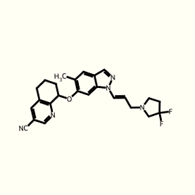 Cc1cc2cnn(C=CCN3CCC(F)(F)C3)c2cc1OC1CCCc2cc(C#N)cnc21